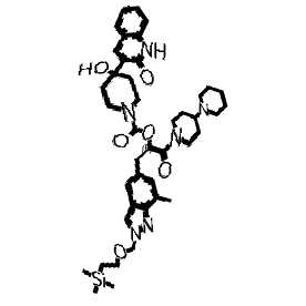 Cc1cc(C[C@@H](OC(=O)N2CCC(O)(c3cc4ccccc4[nH]c3=O)CC2)C(=O)N2CCC(N3CCCCC3)CC2)cc2cn(COCC[Si](C)(C)C)nc12